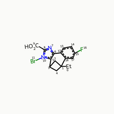 CCC12CC(C1)c1c(nc(C(=O)O)n1Br)-c1ccc(F)cc12